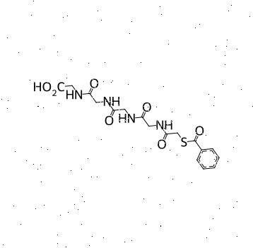 O=C(O)CNC(=O)CNC(=O)CNC(=O)CNC(=O)CSC(=O)c1ccccc1